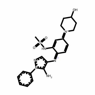 CS(=O)(=O)NC1=CC(=[N+]2CCC(O)CC2)C=C/C1=N/c1cnn(-c2ccccc2)c1N